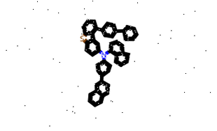 c1ccc(-c2ccc(-c3cccc4sc5ccc(N(c6ccc(-c7ccc8ccccc8c7)cc6)c6cccc7ccccc67)cc5c34)cc2)cc1